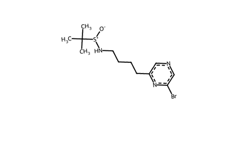 CC(C)(C)[S+]([O-])NCCCCc1cncc(Br)n1